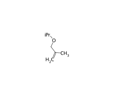 [CH2]C(C)OCC(=C)C